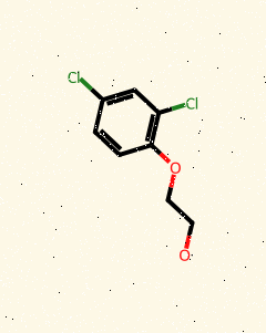 [O]CCOc1ccc(Cl)cc1Cl